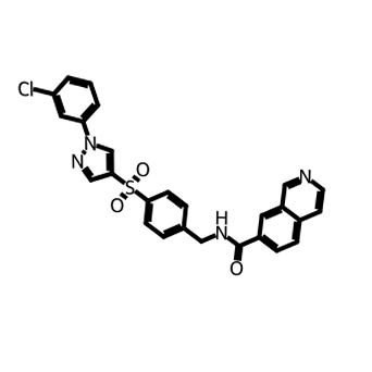 O=C(NCc1ccc(S(=O)(=O)c2cnn(-c3cccc(Cl)c3)c2)cc1)c1ccc2ccncc2c1